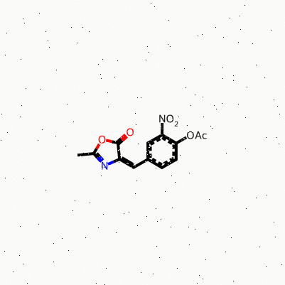 CC(=O)Oc1ccc(C=C2N=C(C)OC2=O)cc1[N+](=O)[O-]